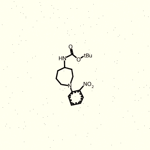 CC(C)(C)OC(=O)NC1CCCN(c2ccccc2[N+](=O)[O-])CC1